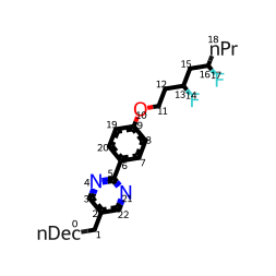 CCCCCCCCCCCc1cnc(-c2ccc(OCCC(F)CC(F)CCC)cc2)nc1